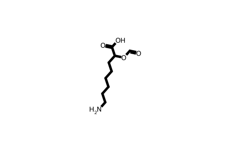 NCCCCCCC(OC=O)C(=O)O